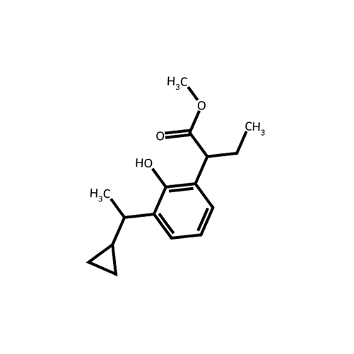 CCC(C(=O)OC)c1cccc(C(C)C2CC2)c1O